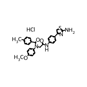 COc1ccc(N(CC(=O)Nc2ccc(-c3csc(N)n3)cc2)C(=O)c2ccc(C)cc2)cc1.Cl